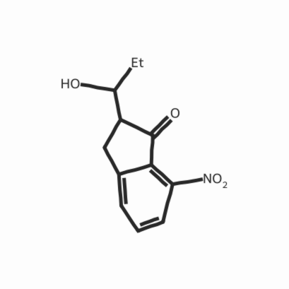 CCC(O)C1Cc2cccc([N+](=O)[O-])c2C1=O